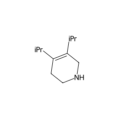 CC(C)C1=C(C(C)C)CNCC1